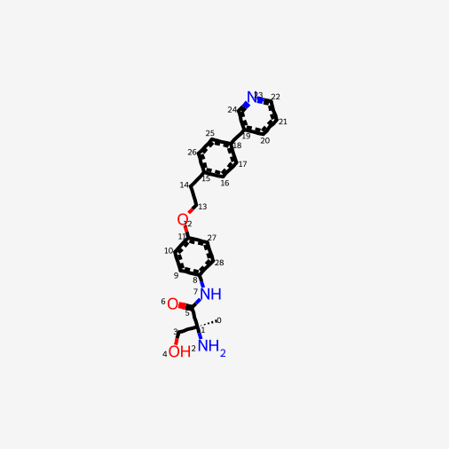 C[C@](N)(CO)C(=O)Nc1ccc(OCCc2ccc(-c3cccnc3)cc2)cc1